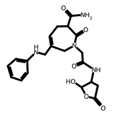 NC(=O)C1CC=C(CNc2ccccc2)CN(CC(=O)NC2CC(=O)OC2O)C1=O